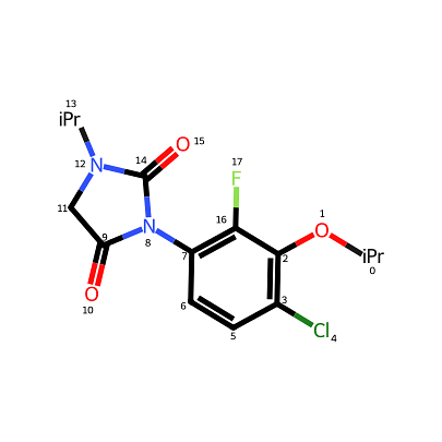 CC(C)Oc1c(Cl)ccc(N2C(=O)CN(C(C)C)C2=O)c1F